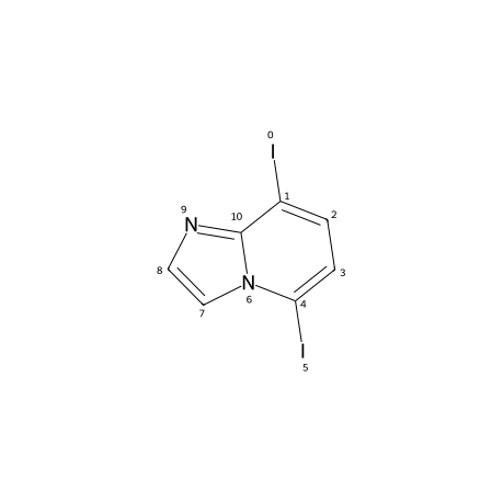 Ic1ccc(I)n2ccnc12